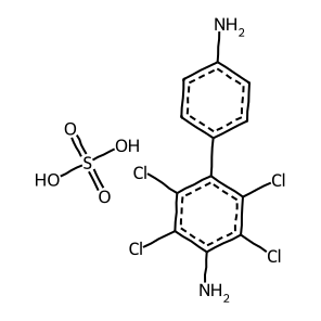 Nc1ccc(-c2c(Cl)c(Cl)c(N)c(Cl)c2Cl)cc1.O=S(=O)(O)O